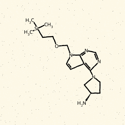 C[Si](C)(C)CCOCn1ccc2c(N3CC[C@@H](N)C3)ncnc21